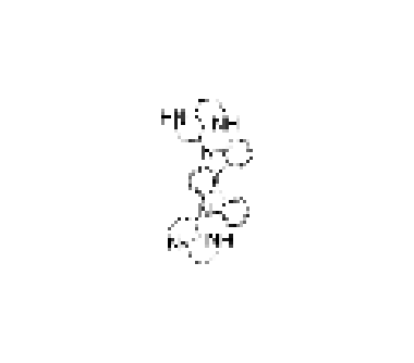 c1ccc2c(c1)c1c3c4ccccc4n(C4CCNC5CCCNC54)c3ccc1n2C1CCN=C2CCCNC21